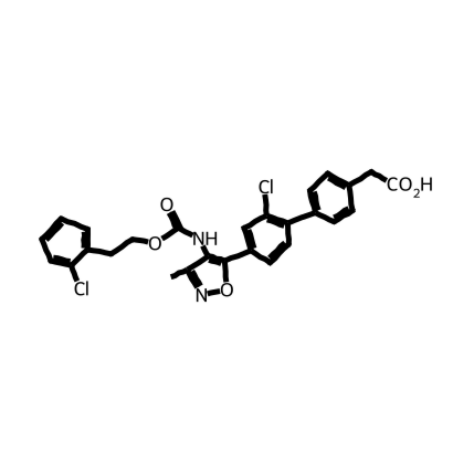 Cc1noc(-c2ccc(-c3ccc(CC(=O)O)cc3)c(Cl)c2)c1NC(=O)OCCc1ccccc1Cl